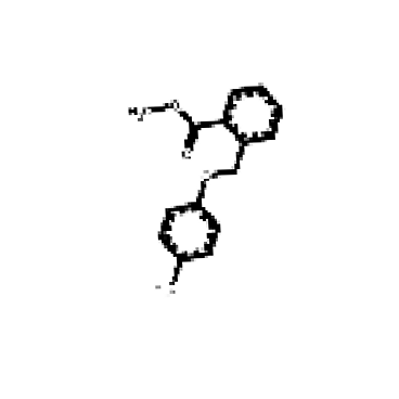 COC(=O)c1ccccc1COc1ccc(C)cc1